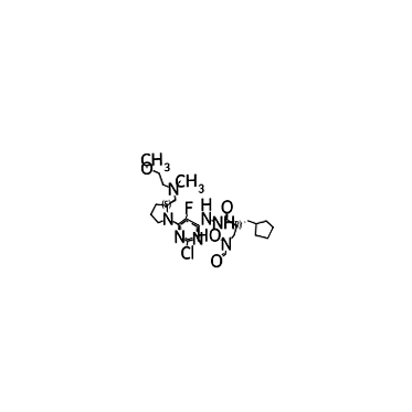 COCCN(C)C[C@@H]1CCCN1c1nc(Cl)nc(NNC(=O)[C@H](CC2CCCC2)CN(O)C=O)c1F